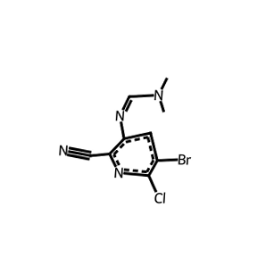 CN(C)/C=N\c1cc(Br)c(Cl)nc1C#N